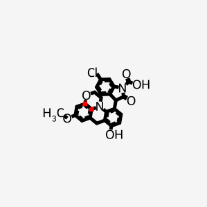 COc1cccc(Cc2c(O)ccc(C3C(=O)N(C(=O)O)c4cc(Cl)ccc43)c2N2CCOCC2)c1